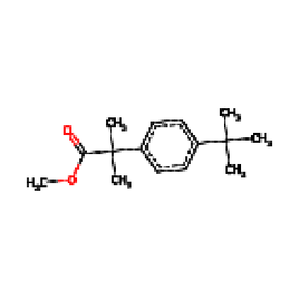 COC(=O)C(C)(C)c1ccc(C(C)(C)C)cc1